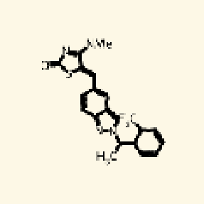 CNC1=NC(=O)S/C1=C\c1ccc2nn(C(C)C3C=CC=CC3C(F)(F)F)cc2c1